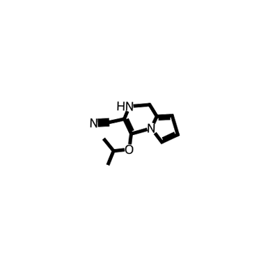 CC(C)OC1=C(C#N)NCc2cccn21